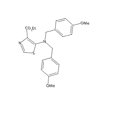 CCOC(=O)c1ncsc1N(Cc1ccc(OC)cc1)Cc1ccc(OC)cc1